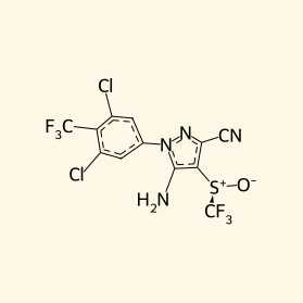 N#Cc1nn(-c2cc(Cl)c(C(F)(F)F)c(Cl)c2)c(N)c1[S@@+]([O-])C(F)(F)F